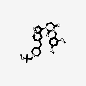 COc1ccc(CN2C(=O)CCN(c3cnn4ccc(CC5CCN(CC(C)(C)OC)CC5)cc34)C2=O)c(OC)c1